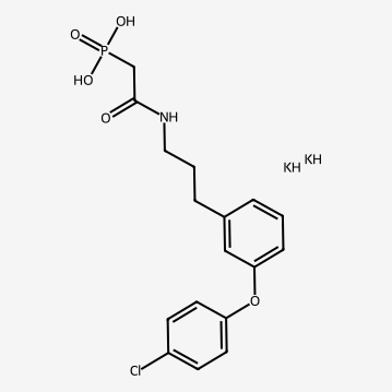 O=C(CP(=O)(O)O)NCCCc1cccc(Oc2ccc(Cl)cc2)c1.[KH].[KH]